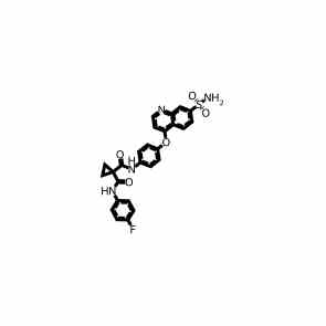 NS(=O)(=O)c1ccc2c(Oc3ccc(NC(=O)C4(C(=O)Nc5ccc(F)cc5)CC4)cc3)ccnc2c1